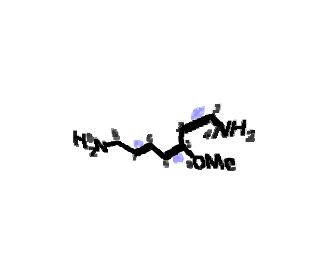 COC(/C=C\N)=C/C=C/CN